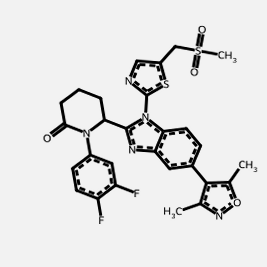 Cc1noc(C)c1-c1ccc2c(c1)nc(C1CCCC(=O)N1c1ccc(F)c(F)c1)n2-c1ncc(CS(C)(=O)=O)s1